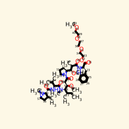 CC[C@H](C)[C@@H]([C@@H](CC(=O)N1CCC[C@H]1[C@H](OC)[C@@H](C)C(=O)N[C@@H](Cc1ccccc1)C(=O)OCCOCCOCCOC)OC)N(C)C(=O)[C@@H](NC(=O)[C@@H]1C(C)CCN1C)C(C)C